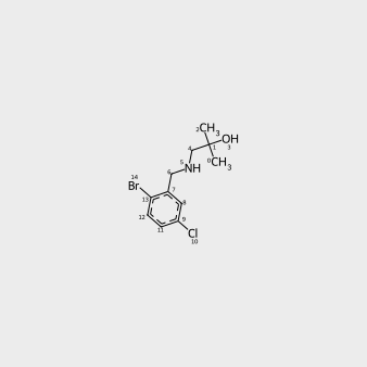 CC(C)(O)CNCc1cc(Cl)ccc1Br